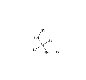 CC[Si](CC)(NC(C)C)NC(C)C